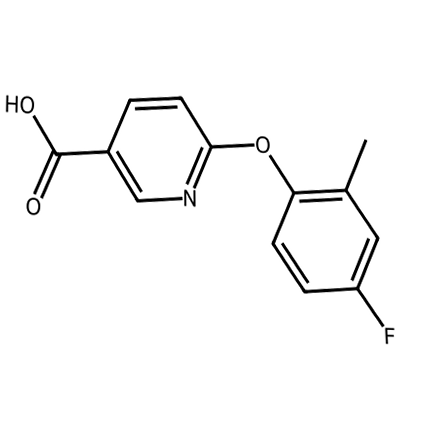 Cc1cc(F)ccc1Oc1ccc(C(=O)O)cn1